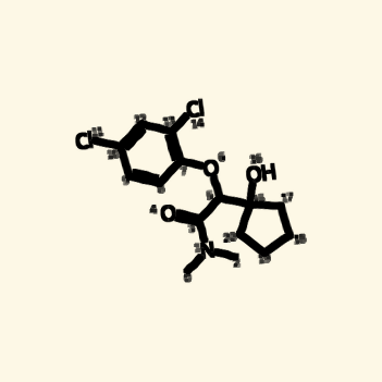 CN(C)C(=O)C(Oc1ccc(Cl)cc1Cl)C1(O)CCCC1